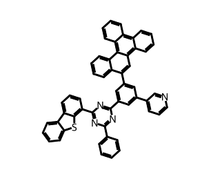 c1ccc(-c2nc(-c3cc(-c4cccnc4)cc(-c4cc5c6ccccc6c6ccccc6c5c5ccccc45)c3)nc(-c3cccc4c3sc3ccccc34)n2)cc1